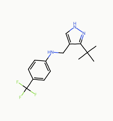 CC(C)(C)c1n[nH]cc1CNc1ccc(C(F)(F)F)cc1